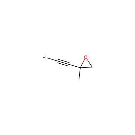 CCC#CC1(C)CO1